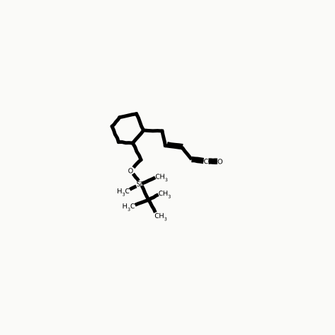 CC(C)(C)[Si](C)(C)OCC1CCCCC1CC=CC=C=O